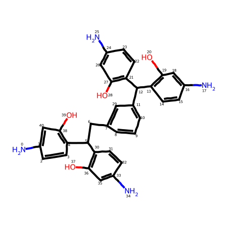 Nc1ccc(C(Cc2cccc(C(c3ccc(N)cc3O)c3ccc(N)cc3O)c2)c2ccc(N)cc2O)c(O)c1